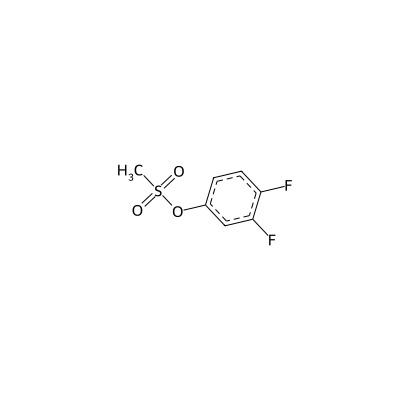 CS(=O)(=O)Oc1ccc(F)c(F)c1